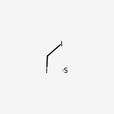 ICI.[S]